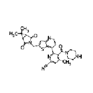 Cc1cc(C#N)nc(-c2ccnc3cc(CN4C(=O)C5C(C4=O)C5(C)C)sc23)c1C(=O)N1CCNCC1